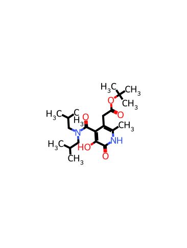 Cc1[nH]c(=O)c(O)c(C(=O)N(CC(C)C)CC(C)C)c1CC(=O)OC(C)(C)C